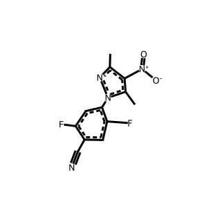 Cc1nn(-c2cc(F)c(C#N)cc2F)c(C)c1[N+](=O)[O-]